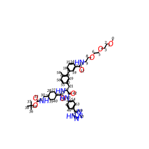 COCCOCCOCCNC(=O)c1cccc(-c2cc(C[C@H](NC(=O)C3CCC(CNC(=O)OC(C)(C)C)CC3)C(=O)Nc3ccc(-c4nnn[nH]4)cc3)ccc2C)c1